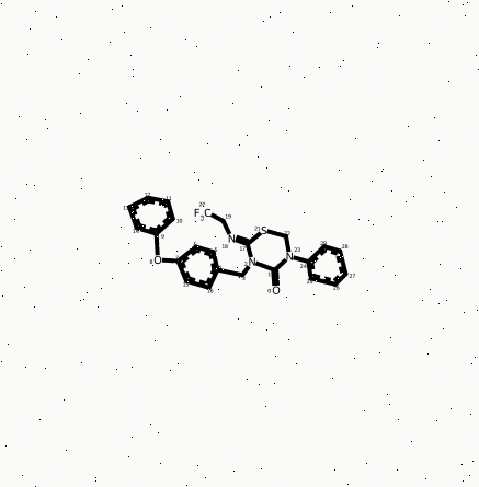 O=C1N(Cc2ccc(Oc3ccccc3)cc2)C(=NCC(F)(F)F)SCN1c1ccccc1